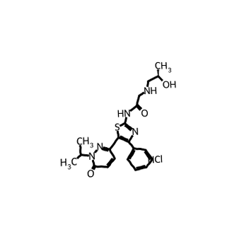 CC(C)n1nc(-c2sc(NC(=O)CNC[C@@H](C)O)nc2-c2ccccc2)ccc1=O.Cl